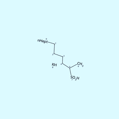 CCCCCCCCCCCC(C)S(=O)(=O)O.[KH]